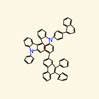 c1ccc(-c2c(-c3ccccc3)c3cc(-c4ccc(N(c5ccc(-c6cccc7ccccc67)cc5)c5ccccc5-c5cccc6c5c5ccccc5n6-c5ccccc5)cc4)ccc3c3ccccc23)cc1